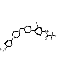 Nc1ccc(N2CCN(CC3CCN(c4ccc(NC(=O)C(F)(F)F)cc4F)CC3)CC2)cc1